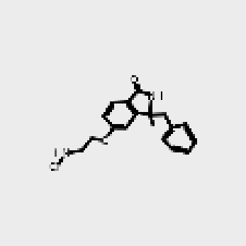 CC1(Cc2ccccc2)NC(=O)c2ccc(OCCNCl)cc21